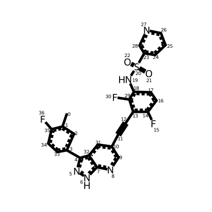 Cc1cc(-c2n[nH]c3ncc(C#Cc4c(F)ccc(NS(=O)(=O)c5cccnc5)c4F)cc23)ccc1F